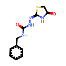 O=C1CSC(=NNC(=O)NCc2ccccc2)N1